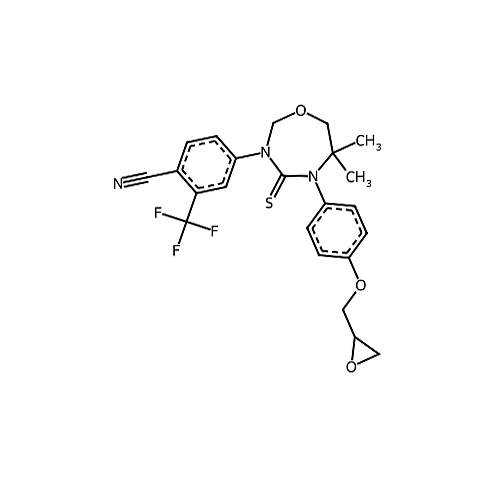 CC1(C)COCN(c2ccc(C#N)c(C(F)(F)F)c2)C(=S)N1c1ccc(OCC2CO2)cc1